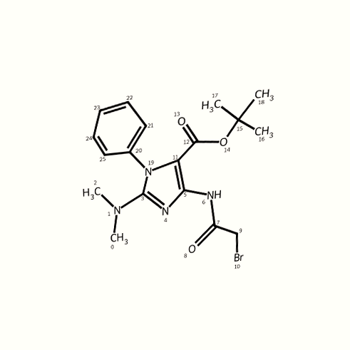 CN(C)c1nc(NC(=O)CBr)c(C(=O)OC(C)(C)C)n1-c1ccccc1